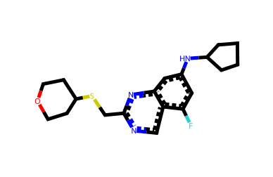 Fc1cc(NC2CCCC2)cc2nc(CSC3CCOCC3)ncc12